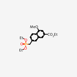 CCOC(=O)c1cc(OC)c2ccc(CP(=O)(OCC)OCC)cc2c1